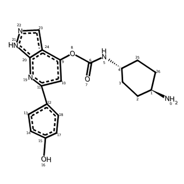 N[C@H]1CC[C@H](NC(=O)Oc2cc(-c3ccc(O)cc3)nc3[nH]ncc23)CC1